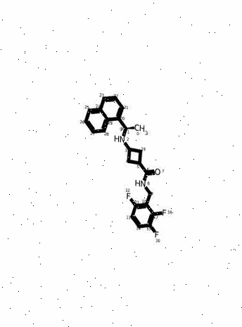 C[C@@H](NC1CC(C(=O)NCc2c(F)ccc(F)c2F)C1)c1cccc2ccccc12